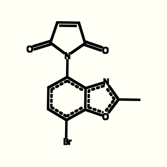 Cc1nc2c(N3C(=O)C=CC3=O)ccc(Br)c2o1